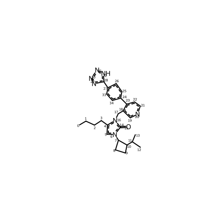 CCCCc1cn(C2CCC2C(C)C)c(=O)n1Cc1cnccc1-c1ccc(-c2nnn[nH]2)cc1